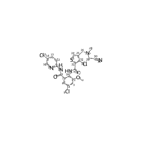 COc1cc(Cl)cc(C(=O)Nc2ccc(Cl)cn2)c1NC(=O)c1scc(CN(C)CC#N)c1Cl